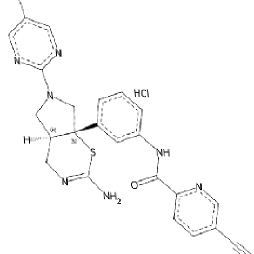 Cl.N#Cc1ccc(C(=O)Nc2cccc([C@]34CN(c5ncc(F)cn5)C[C@@H]3CN=C(N)S4)c2)nc1